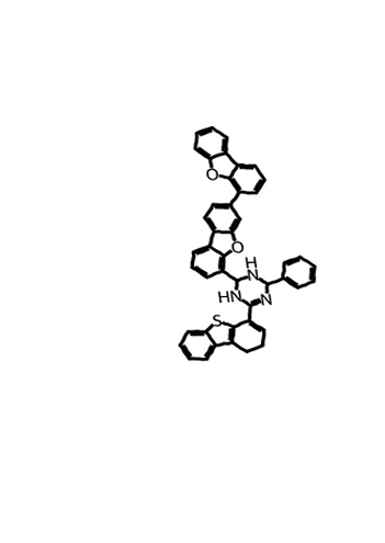 C1=C(C2=NC(c3ccccc3)NC(c3cccc4c3oc3cc(-c5cccc6c5oc5ccccc56)ccc34)N2)c2sc3ccccc3c2CC1